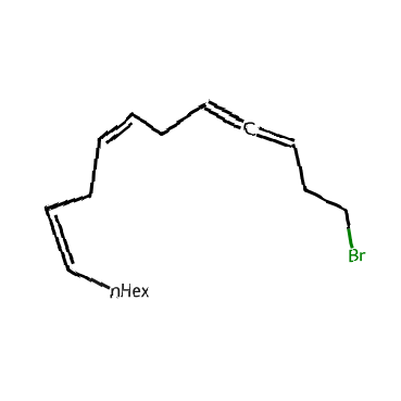 CCCCCC/C=C\C/C=C\CC=C=CCCBr